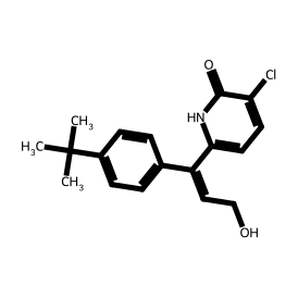 CC(C)(C)c1ccc(C(=CCO)c2ccc(Cl)c(=O)[nH]2)cc1